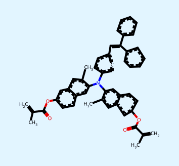 C=C(C)C(=O)Oc1ccc2cc(N(c3ccc(C=C(c4ccccc4)c4ccccc4)cc3)c3cc4ccc(OC(=O)C(=C)C)cc4cc3C)c(C)cc2c1